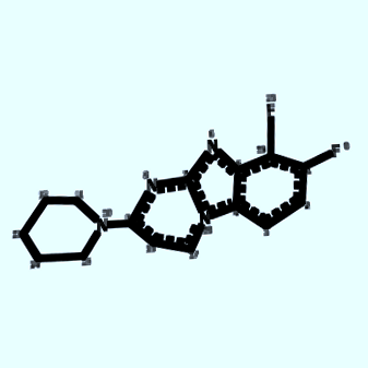 Fc1ccc2c(nc3nc(N4CCCCC4)ccn32)c1F